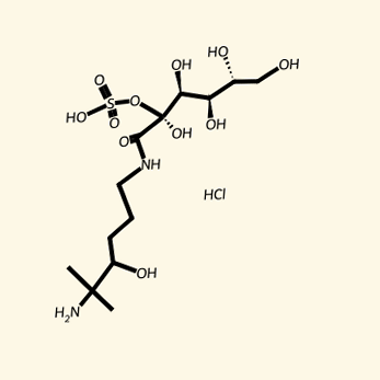 CC(C)(N)C(O)CCCNC(=O)[C@@](O)(OS(=O)(=O)O)[C@@H](O)[C@H](O)[C@H](O)CO.Cl